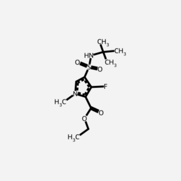 CCOC(=O)c1c(F)c(S(=O)(=O)NC(C)(C)C)cn1C